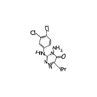 CC(C)c1nnc(Nc2ccc(Cl)c(Cl)c2)n(N)c1=O